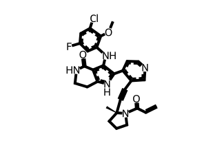 C=CC(=O)N1CCC[C@]1(C)C#Cc1cnccc1-c1[nH]c2c(c1Nc1cc(F)cc(Cl)c1OC)C(=O)NCC2